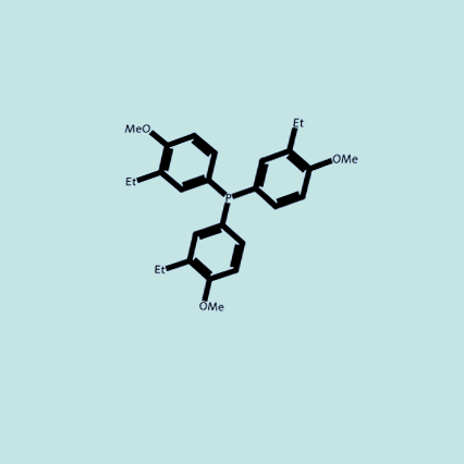 CCc1cc(P(c2ccc(OC)c(CC)c2)c2ccc(OC)c(CC)c2)ccc1OC